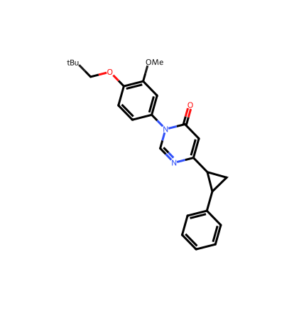 COc1cc(-n2cnc(C3CC3c3ccccc3)cc2=O)ccc1OCC(C)(C)C